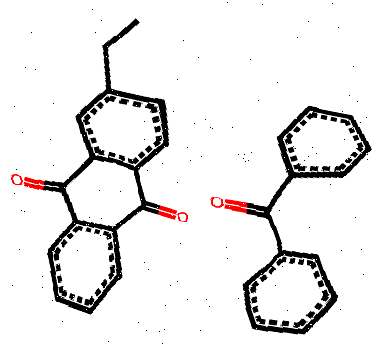 CCc1ccc2c(c1)C(=O)c1ccccc1C2=O.O=C(c1ccccc1)c1ccccc1